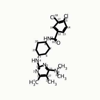 Cc1nc(N[C@H]2CC[C@@H](NC(=O)c3ccc(Cl)c(Cl)c3)CC2)nc(N(C)C)c1C